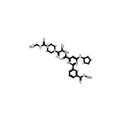 CCCCOC(=O)c1cccc(-c2nc(OC3CCCC3)cc(C(=O)NC(CC)C(=O)N3CCN(C(=O)OCC(C)(C)C)CC3)n2)c1